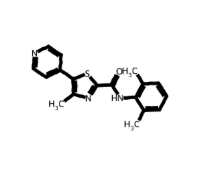 Cc1cccc(C)c1NC(=O)c1nc(C)c(-c2ccncc2)s1